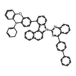 C1=C=CC2=C(C=1)Oc1cc(-c3cccc4c3c3c5ccccc5ccc3n4-c3nc(-c4ccc(-c5ccccc5)cc4)c4ccccc4n3)ccc1N2C1=CC=CCC1